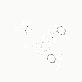 CCCN1CC[C@]2(c3ccc(OC)c(OC)c3)CC[C@@H](NC(=O)Nc3cc(Cl)ccc3C)C[C@H]12.O=C(O)C(F)(F)F